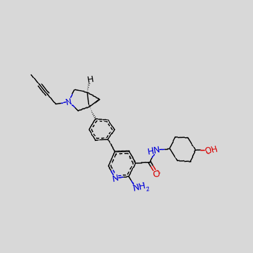 CC#CCN1C[C@H]2C[C@@]2(c2ccc(-c3cnc(N)c(C(=O)NC4CCC(O)CC4)c3)cc2)C1